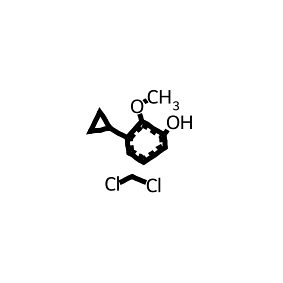 COc1c(O)cccc1C1CC1.ClCCl